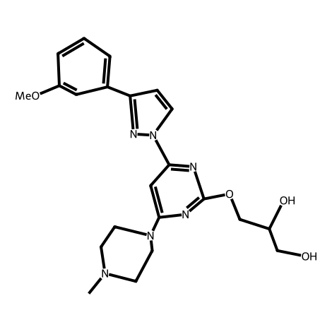 COc1cccc(-c2ccn(-c3cc(N4CCN(C)CC4)nc(OCC(O)CO)n3)n2)c1